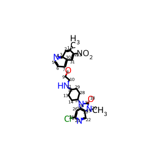 Cc1cc2nccc(OCCNC3CCC(n4c(=O)n(C)c5cnc(Cl)cc54)CC3)c2cc1[N+](=O)[O-]